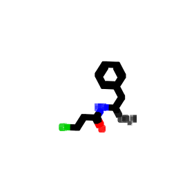 O=C(CCCl)NC(Cc1ccccc1)C(=O)O